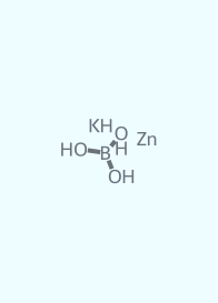 OB(O)O.[KH].[Zn]